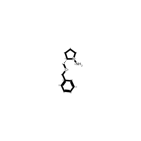 NN1CCC[C@H]1COCc1ccccc1